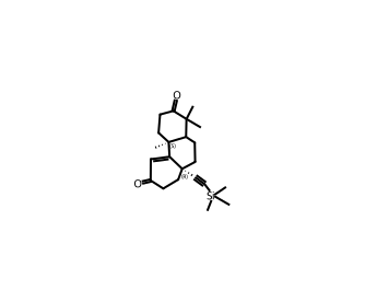 CC1(C)C(=O)CC[C@]2(C)C3=CC(=O)CC[C@]3(C#C[Si](C)(C)C)CCC12